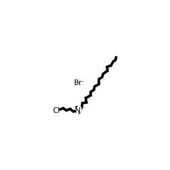 CCCCCCCCCCCCCCCCCC[N+](C)(C)CCCCCl.[Br-]